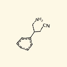 N#CCC(CN)c1ccccc1